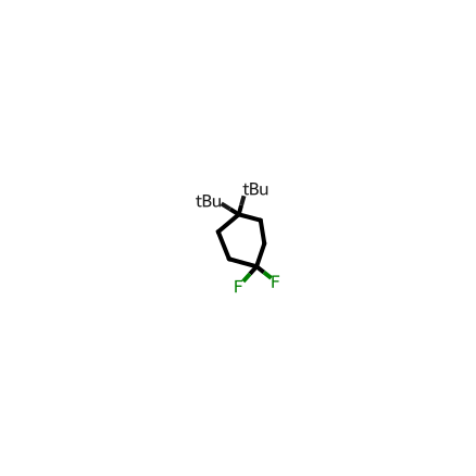 CC(C)(C)C1(C(C)(C)C)CCC(F)(F)CC1